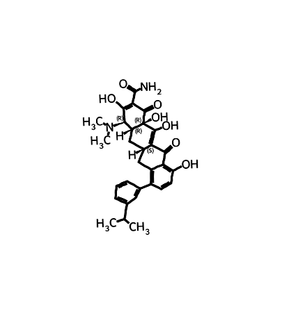 CC(C)c1cccc(-c2ccc(O)c3c2C[C@@H]2C[C@@H]4[C@@H](N(C)C)C(O)=C(C(N)=O)C(=O)[C@]4(O)C(O)=C2C3=O)c1